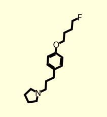 FCCCCOc1ccc(CCCN2CCCC2)cc1